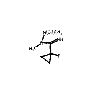 CN(O)N(C)C(=N)C1(F)CC1